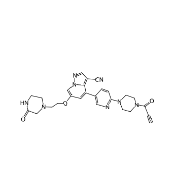 C#CC(=O)N1CCN(c2ccc(-c3cc(OCCN4CCNC(=O)C4)cn4ncc(C#N)c34)cn2)CC1